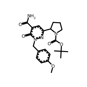 COc1ccc(Cn2nc(C3CCCN3C(=O)OC(C)(C)C)cc(C(N)=O)c2=O)cc1